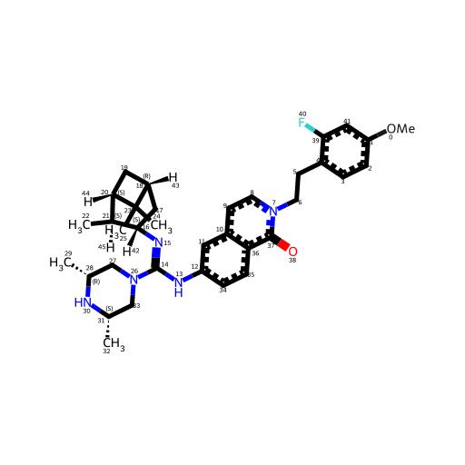 COc1ccc(CCn2ccc3cc(NC(=N[C@H]4C[C@H]5C[C@@H]([C@@H]4C)C5(C)C)N4C[C@@H](C)N[C@@H](C)C4)ccc3c2=O)c(F)c1